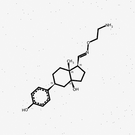 C[C@]12CC[C@H](c3ccc(O)cc3)C[C@@]1(O)CC[C@@H]2C=NOCCN